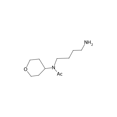 CC(=O)N(CCCCN)C1CCOCC1